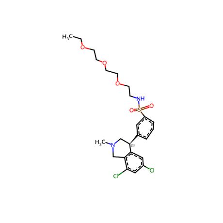 CCOCCOCCOCCNS(=O)(=O)c1cccc([C@@H]2CN(C)Cc3c(Cl)cc(Cl)cc32)c1